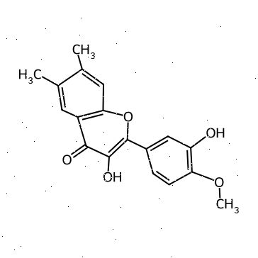 COc1ccc(-c2oc3cc(C)c(C)cc3c(=O)c2O)cc1O